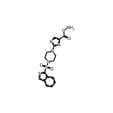 NOC(=O)c1cnc(N2CCN(S(=O)(=O)c3scc4ccccc34)CC2)s1